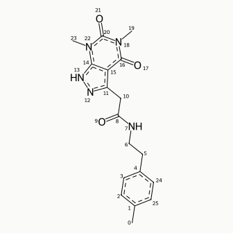 Cc1ccc(CCNC(=O)Cc2n[nH]c3c2c(=O)n(C)c(=O)n3C)cc1